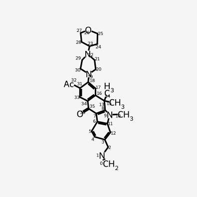 C=NCc1ccc2c3c(n(C)c2c1)C(C)(C)c1cc(N2CCN(C4CCOCC4)CC2)c(C(C)=O)cc1C3=O